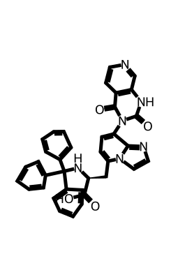 O=C(O)[C@H](Cc1ccc(-n2c(=O)[nH]c3cnccc3c2=O)c2nccn12)NC(c1ccccc1)(c1ccccc1)c1ccccc1